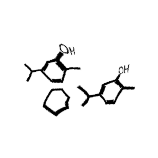 C1CCCCC1.Cc1ccc(C(C)C)cc1O.Cc1ccc(C(C)C)cc1O